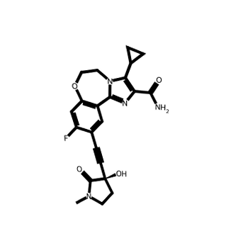 CN1CC[C@@](O)(C#Cc2cc3c(cc2F)OCCn2c-3nc(C(N)=O)c2C2CC2)C1=O